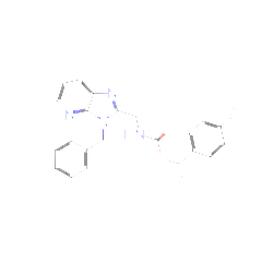 C[C@H](OC(=O)NCc1nc2cccnc2n1Cc1ccc(F)cc1)c1ccc(F)cc1